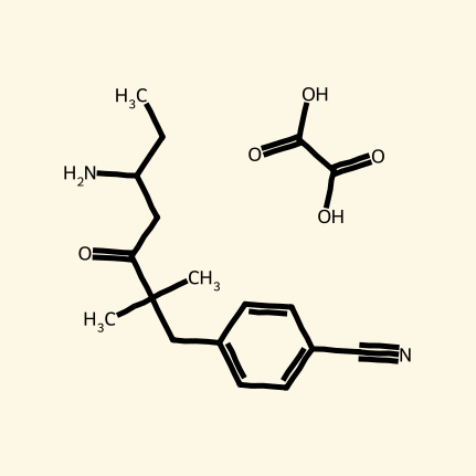 CCC(N)CC(=O)C(C)(C)Cc1ccc(C#N)cc1.O=C(O)C(=O)O